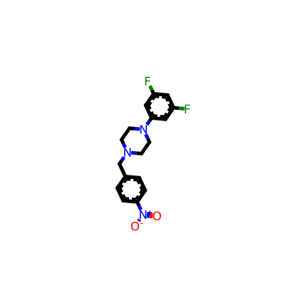 O=[N+]([O-])c1ccc(CN2CCN(c3cc(F)cc(F)c3)CC2)cc1